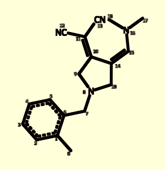 Cc1ccccc1CN1CC(=C(C#N)C#N)/C(=C\N(C)C)C1